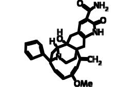 C=C1/C=C(OC)\C=C/CC[C@H]2N(Cc3ccccc3)CC[C@@]13Cc1[nH]c(=O)c(C(N)=O)cc1C[C@@]23O